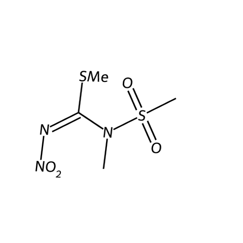 CSC(=N[N+](=O)[O-])N(C)S(C)(=O)=O